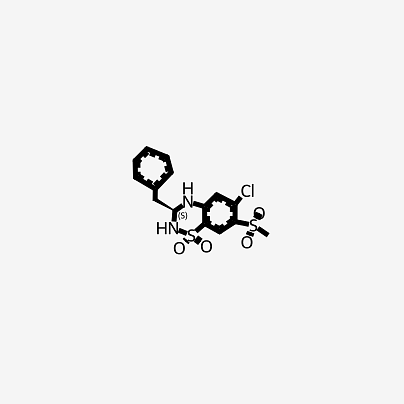 CS(=O)(=O)c1cc2c(cc1Cl)N[C@H](Cc1ccccc1)NS2(=O)=O